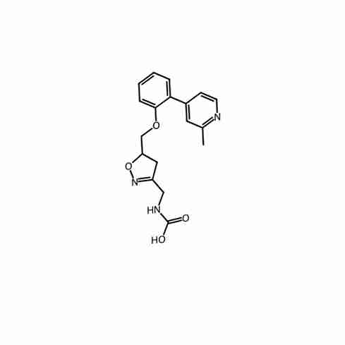 Cc1cc(-c2ccccc2OCC2CC(CNC(=O)O)=NO2)ccn1